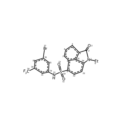 CCN1C(=O)c2cccc3c(S(=O)(=O)Nc4cc(Br)cc(C(F)(F)F)c4)ccc1c23